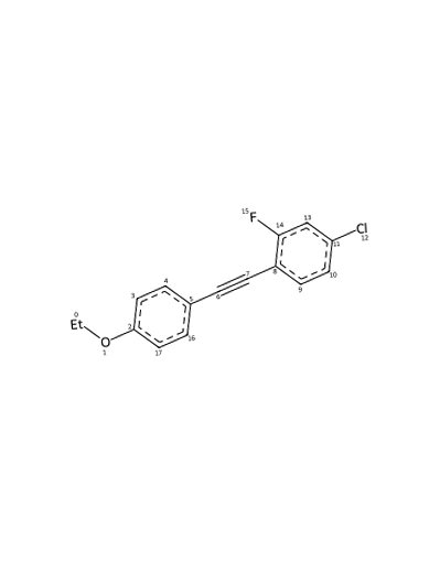 CCOc1ccc(C#Cc2ccc(Cl)cc2F)cc1